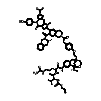 C=CCOC(=O)N[C@H](C(=O)N[C@@H](CCCNC(N)=O)C(=O)Nc1ccc(C[N+]2(CCOc3ccc(CC(=O)N4CCc5cc(-c6cc(C(=O)N(c7ccc(O)cc7)c7cnn(C(F)F)c7)c(C)n6C)c(C(=O)N6Cc7ccccc7C[C@H]6C)cc5C4)cc3)CCOCC2)c(CNC)c1)C(C)C